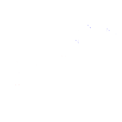 CCOP(=O)(COCC1OC(n2ccc(N)nc2=O)CS1)OCC